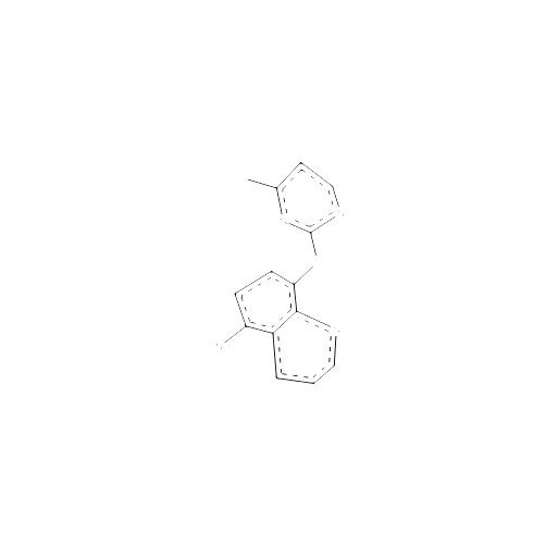 Cc1ccnc(Sc2ccc(N)c3cccnc23)n1